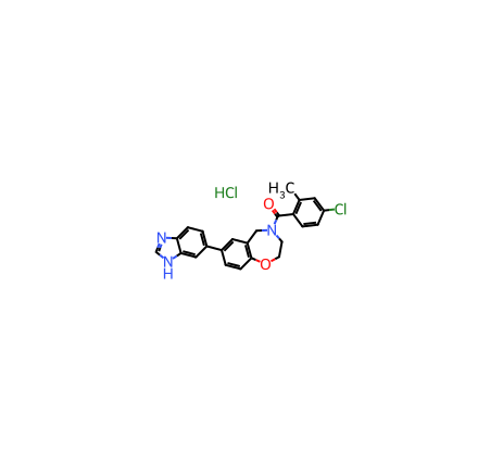 Cc1cc(Cl)ccc1C(=O)N1CCOc2ccc(-c3ccc4nc[nH]c4c3)cc2C1.Cl